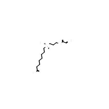 C=CC(=O)OCCC[N+](C)(C)CCCCCCCC(=O)[O-]